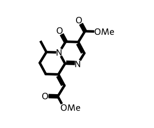 COC(=O)C=C1CCC(C)n2c1ncc(C(=O)OC)c2=O